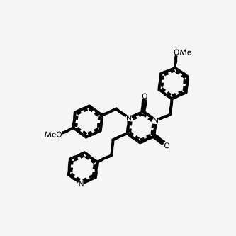 COc1ccc(Cn2c(CCc3cccnc3)cc(=O)n(Cc3ccc(OC)cc3)c2=O)cc1